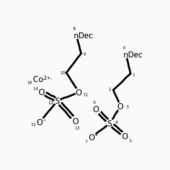 CCCCCCCCCCCCOS(=O)(=O)[O-].CCCCCCCCCCCCOS(=O)(=O)[O-].[Co+2]